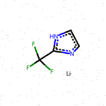 FC(F)(F)c1ncc[nH]1.[Li]